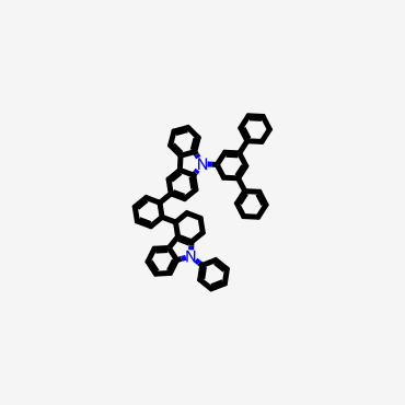 C1=CCCC(C2=CC(n3c4ccccc4c4cc(C5C=CC=CC5C5CCCc6c5c5ccccc5n6-c5ccccc5)ccc43)CC(C3=CCCC=C3)=C2)=C1